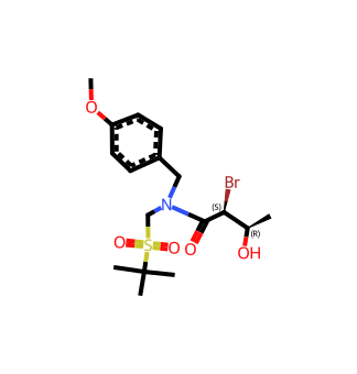 COc1ccc(CN(CS(=O)(=O)C(C)(C)C)C(=O)[C@@H](Br)[C@@H](C)O)cc1